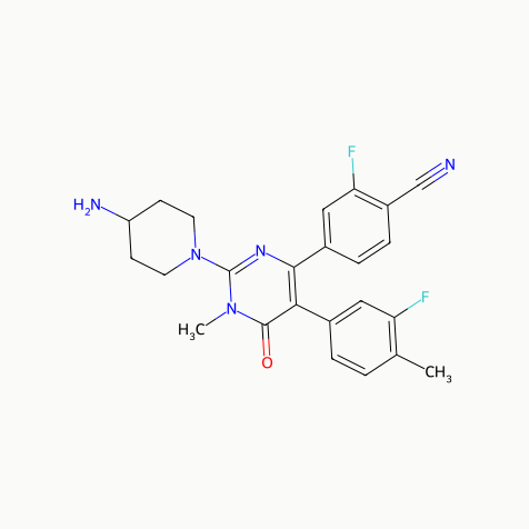 Cc1ccc(-c2c(-c3ccc(C#N)c(F)c3)nc(N3CCC(N)CC3)n(C)c2=O)cc1F